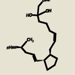 CCCCCC[C@@H](C)C/C=C/[C@H]1CCC[C@@H]1C/C=C\CCCC(O)(O)COC(C)=O